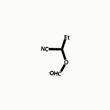 CCC(C#N)O[C]=O